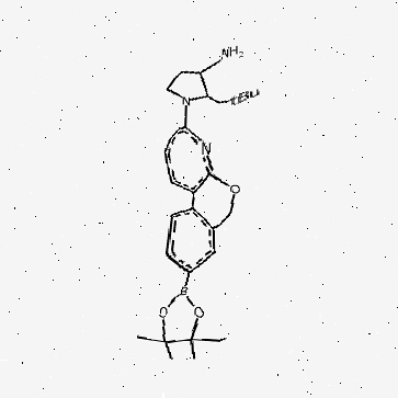 CC(C)(C)C1C(N)CCN1c1ccc2c(n1)OCc1cc(B3OC(C)(C)C(C)(C)O3)ccc1-2